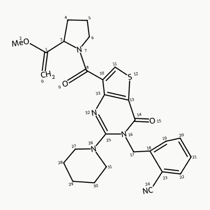 C=C(OC)C1CCCN1C(=O)c1csc2c(=O)n(Cc3ccccc3C#N)c(N3CCCCC3)nc12